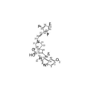 COc1ccc2ncc(N(C)C)c([C@@H](F)CCC3(CC(=O)O)CCN(CC#Cc4c(F)cc(F)cc4F)CC3)c2c1